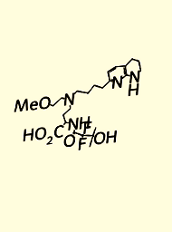 COCCN(CCCCc1ccc2c(n1)NCCC2)CCC(NC(=O)C(F)(F)C(C)(C)O)C(=O)O